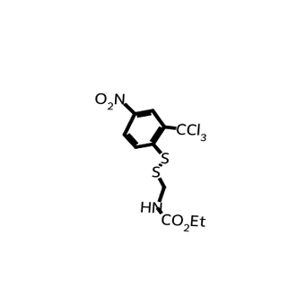 CCOC(=O)NCSSc1ccc([N+](=O)[O-])cc1C(Cl)(Cl)Cl